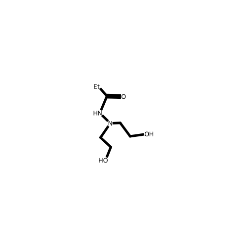 CCC(=O)NN(CCO)CCO